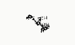 COc1cccc(SCCCN2CC[C@@H](CC[C@@H](O)c3ccnc4ccc(OC)cc34)[C@@H](CC(=O)O)C2)c1